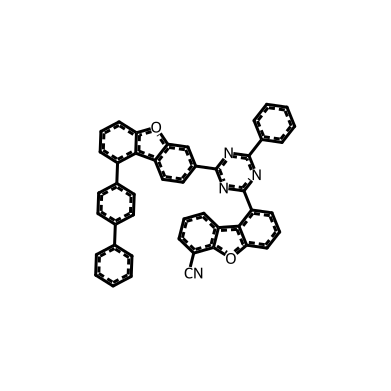 N#Cc1cccc2c1oc1cccc(-c3nc(-c4ccccc4)nc(-c4ccc5c(c4)oc4cccc(-c6ccc(-c7ccccc7)cc6)c45)n3)c12